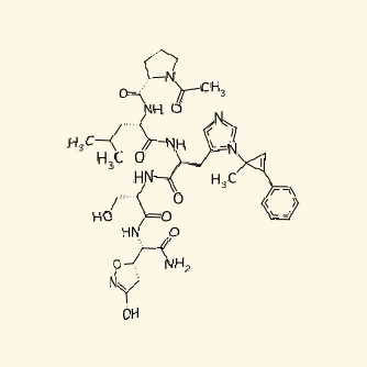 CC(=O)N1CCC[C@H]1C(=O)N[C@@H](CC(C)C)C(=O)N[C@@H](Cc1cncn1C1(C)C=C1c1ccccc1)C(=O)N[C@@H](CO)C(=O)N[C@H](C(N)=O)[C@@H]1CC(O)=NO1